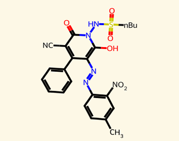 CCCCS(=O)(=O)Nn1c(O)c(N=Nc2ccc(C)cc2[N+](=O)[O-])c(-c2ccccc2)c(C#N)c1=O